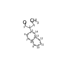 CCC(C=O)c1ccc2ccccc2c1